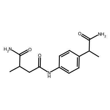 CC(CC(=O)Nc1ccc(C(C)C(N)=O)cc1)C(N)=O